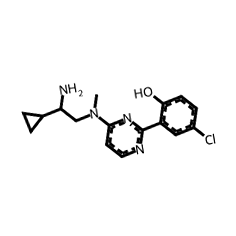 CN(CC(N)C1CC1)c1ccnc(-c2cc(Cl)ccc2O)n1